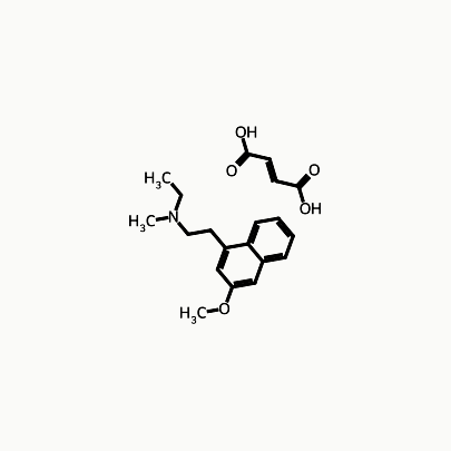 CCN(C)CCc1cc(OC)cc2ccccc12.O=C(O)/C=C/C(=O)O